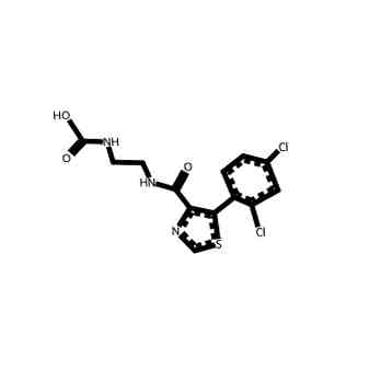 O=C(O)NCCNC(=O)c1ncsc1-c1ccc(Cl)cc1Cl